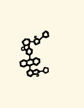 c1ccc(-c2ccc(-c3cccc4oc5cc(-c6c7ccccc7c(-c7cccc8sc(C9CCCC9)cc78)c7ccccc67)ccc5c34)s2)cc1